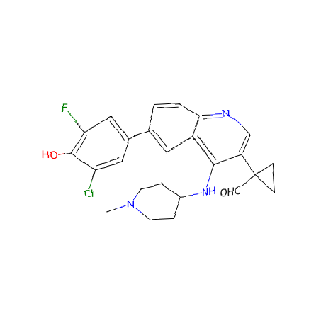 CN1CCC(Nc2c(C3(C=O)CC3)cnc3ccc(-c4cc(F)c(O)c(Cl)c4)cc23)CC1